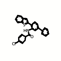 O=C(Nc1cc(-c2ccccc2)ccc1-c1cc2ccccc2s1)C1C=CC(Cl)=CC1